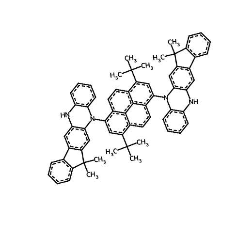 CC(C)(C)c1cc(N2c3ccccc3Nc3cc4c(cc32)C(C)(C)c2ccccc2-4)c2ccc3c(C(C)(C)C)cc(N4c5ccccc5Nc5cc6c(cc54)C(C)(C)c4ccccc4-6)c4ccc1c2c43